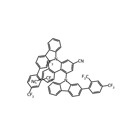 N#Cc1cc(-n2c3ccccc3c3ccc(-c4ccc(C(F)(F)F)cc4C(F)(F)F)cc32)c(-c2ccc(C#N)cc2C(F)(F)F)c(-n2c3ccccc3c3ccc(-c4ccc(C(F)(F)F)cc4C(F)(F)F)cc32)c1